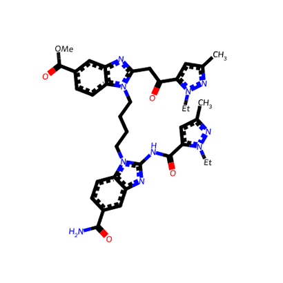 CCn1nc(C)cc1C(=O)Cc1nc2cc(C(=O)OC)ccc2n1CCCCn1c(NC(=O)c2cc(C)nn2CC)nc2cc(C(N)=O)ccc21